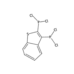 ClP(Cl)c1sc2ccccc2c1P(Cl)Cl